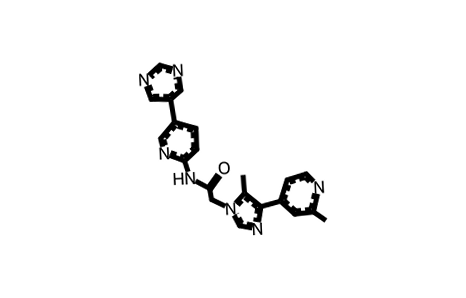 Cc1cc(-c2ncn(CC(=O)Nc3ccc(-c4cncnc4)cn3)c2C)ccn1